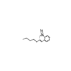 CCCCCC1=Cc2ccccc2NC1